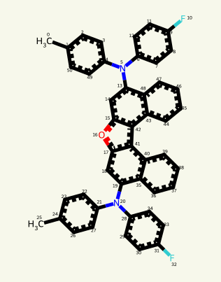 Cc1ccc(N(c2ccc(F)cc2)c2cc3oc4cc(N(c5ccc(C)cc5)c5ccc(F)cc5)c5ccccc5c4c3c3ccccc23)cc1